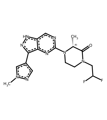 C[C@@H]1C(=O)N(CC(F)F)CCN1c1ncc2[nH]nc(-c3cnn(C)c3)c2n1